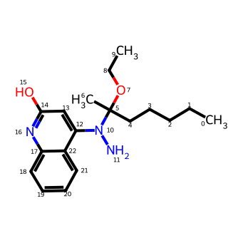 CCCCCC(C)(OCC)N(N)c1cc(O)nc2ccccc12